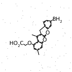 Bc1ccc(Cc2c(C)c3c(OCC(=O)O)cc(C)cc3oc2=O)cc1